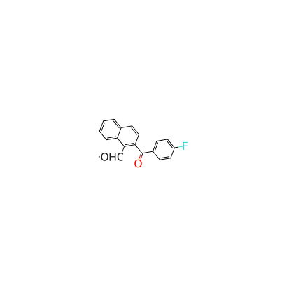 O=[C]c1c(C(=O)c2ccc(F)cc2)ccc2ccccc12